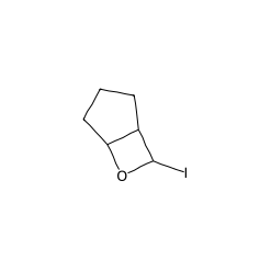 IC1OC2CCCC12